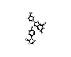 O=c1ocnn1-c1ccc(O[C@H]2c3cc(Cl)cc(Cl)c3C[C@@H]2N2CCC(O)C2)cc1